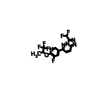 CC(Oc1ncc(-c2ccc3nnc(C(F)F)n3n2)cc1F)C(F)(F)F